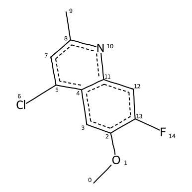 COc1cc2c(Cl)cc(C)nc2cc1F